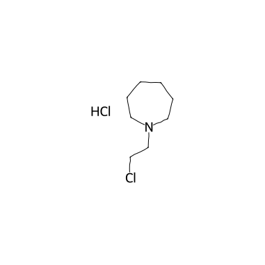 Cl.ClCCN1CCCCCC1